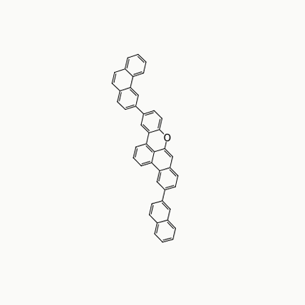 c1ccc2cc(-c3ccc4cc5c6c(cccc6c4c3)-c3cc(-c4ccc6ccc7ccccc7c6c4)ccc3O5)ccc2c1